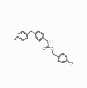 Cc1ccc(Cc2ccc(NC(=O)OCc3ccc(Cl)cc3)cc2)cn1